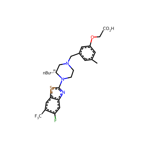 CCCC[C@@H]1CN(Cc2cc(C)cc(OCC(=O)O)c2)CCN1c1nc2cc(F)c(C(F)(F)F)cc2s1